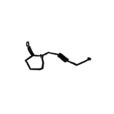 O=C1CCCN1CC#CCBr